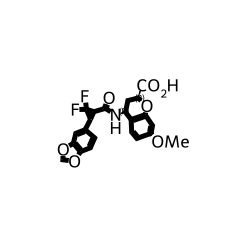 COc1ccc2c(c1)O[C@@H](C(=O)O)C[C@H]2NC(=O)C1C(c2ccc3c(c2)OCO3)C1(F)F